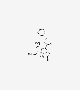 C=CCC1(C)C2C(=O)CC2N(C(=O)OCc2ccccc2)C1C(=O)OC